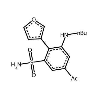 CCCCNc1cc(C(C)=O)cc(S(N)(=O)=O)c1-c1ccoc1